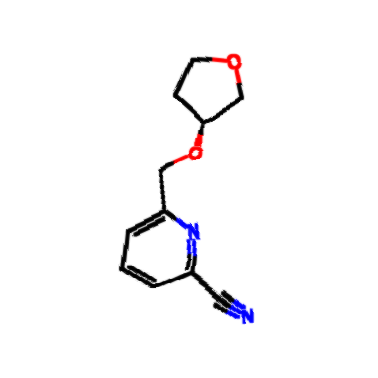 N#Cc1cccc(CO[C@H]2CCOC2)n1